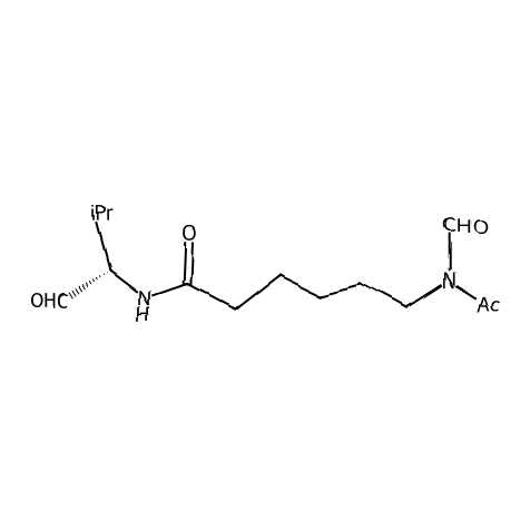 CC(=O)N(C=O)CCCCCC(=O)N[C@H](C=O)C(C)C